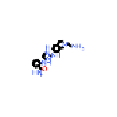 CNC(=O)c1ccccc1NC1=NC(NC2=CC3CN(CCN)CCC3C=C2)NC=C1